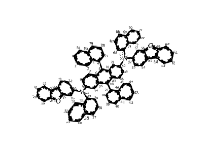 c1ccc2c(-c3c4ccc(N(c5ccc6c(c5)oc5ccccc56)c5cccc6ccccc56)cc4c(-c4cccc5ccccc45)c4ccc(N(c5ccc6c(c5)oc5ccccc56)c5cccc6ccccc56)cc34)cccc2c1